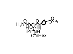 CCCCCCC(=O)N[C@H](C(=O)N[C@@H](CCCNC(N)=O)C(=O)Nc1ccc(COC(=O)C(C)C)cc1)C(C)C